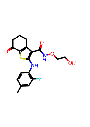 Cc1ccc(Nc2sc3c(c2C(=O)NOCCO)CCCC3=O)c(F)c1